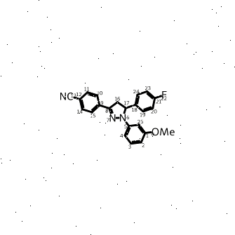 COc1cccc(N2N=C(c3ccc(C#N)cc3)CC2c2ccc(F)cc2)c1